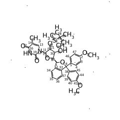 COc1ccc(C(OC[C@H]2O[C@@H](n3cc(C)c(=O)[nH]c3=O)[C@@H](O[Si](C)(C)C(C)(C)C)C2O)(c2ccccc2)c2ccc(OC)cc2)cc1